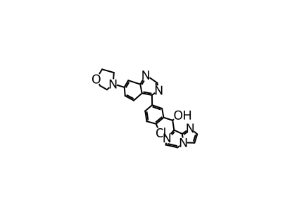 OC(c1cc(-c2ncnc3cc(N4CCOCC4)ccc23)ccc1Cl)c1nccn2ccnc12